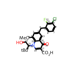 COc1cc(Cc2cccc(Cl)c2F)cc2c(=O)c(C(=O)O)cn(C(CO)C(C)(C)C)c12